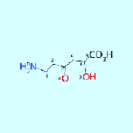 NCCC(=O)CC(O)C(=O)O